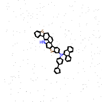 c1ccc(-c2ccc(N(c3ccc4c(c3)sc3cc5[nH]c6c7c(cc8ccc(c34)c5c86)sc3ccccc37)c3cc4ccccc4c4ccccc34)cc2)cc1